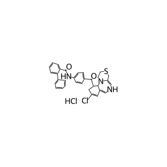 Cl.O=C(Nc1ccc(C(=O)C2CC(Cl)=CC3=CNC=C4CSCCN4C32)cc1)c1ccccc1-c1ccccc1